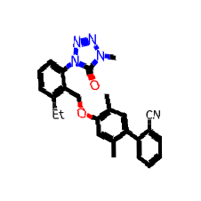 CCc1cccc(-n2nnn(C)c2=O)c1COc1cc(C)c(-c2ccccc2C#N)cc1C